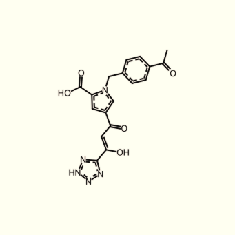 CC(=O)c1ccc(Cn2cc(C(=O)C=C(O)c3nn[nH]n3)cc2C(=O)O)cc1